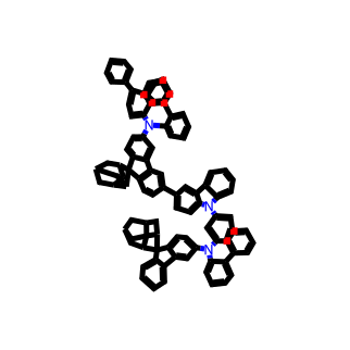 c1ccc(-c2ccccc2N(c2cccc(-n3c4ccccc4c4cc(-c5ccc6c(c5)-c5cc(N(c7ccccc7-c7ccccc7)c7ccc(-c8ccccc8)c8ccccc78)ccc5C65C6CC7CC(C6)C5C7)ccc43)c2)c2ccc3c(c2)-c2ccccc2C32C3CC4CC5CC2C53C4)cc1